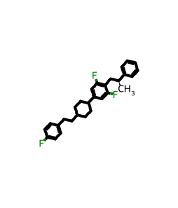 C[C@H](Cc1c(F)cc(C2CCC(CCc3ccc(F)cc3)CC2)cc1F)c1ccccc1